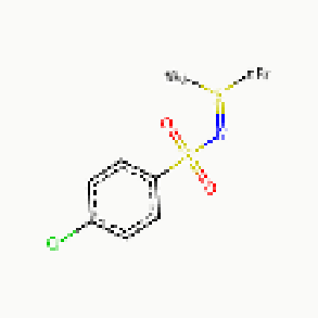 CCCS(=NS(=O)(=O)c1ccc(Cl)cc1)C(C)(C)C